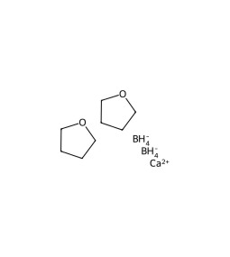 C1CCOC1.C1CCOC1.[BH4-].[BH4-].[Ca+2]